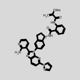 C=C(OC)C(=O)Nc1ccccc1C(=O)N[C@H]1CCc2cc(-n3c(-c4cccnc4N)nc4ccc(-n5cccn5)nc43)ccc21